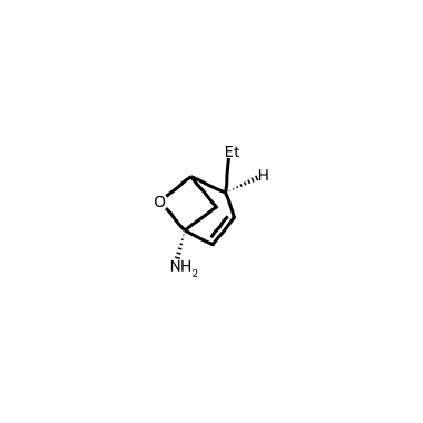 CC[C@H]1C=C[C@]2(N)CC1O2